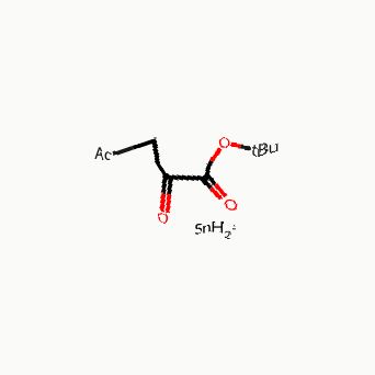 CC(=O)CC(=O)C(=O)OC(C)(C)C.[SnH2]